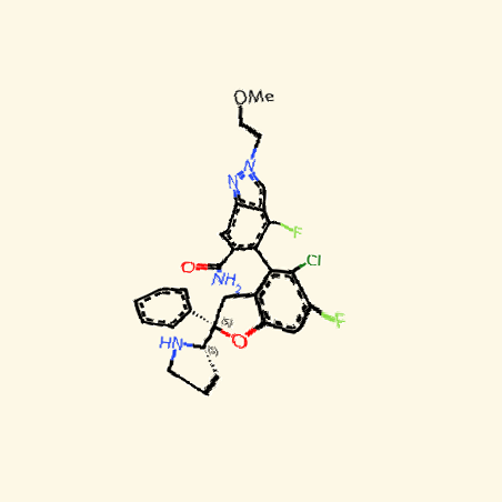 COCCn1cc2c(F)c(-c3c(Cl)c(F)cc4c3C[C@](c3ccccc3)([C@@H]3CCCN3)O4)c(C(N)=O)cc2n1